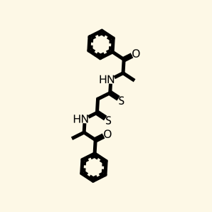 CC(NC(=S)CC(=S)NC(C)C(=O)c1ccccc1)C(=O)c1ccccc1